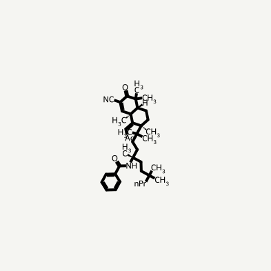 CCCC(C)(C)CC[C@@](C)(CCC(C)(C)[C@]1(C)CC[C@H]2C(C)(C)C(=O)C(C#N)=C[C@]2(C)/C1=C/C(C)=O)NC(=O)c1ccccc1